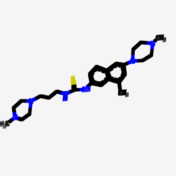 Cc1cc(N2CCN(C)CC2)cc2ccc(NC(=S)NCCCN3CCN(C)CC3)cc12